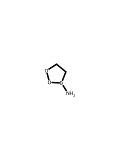 NB1CCOO1